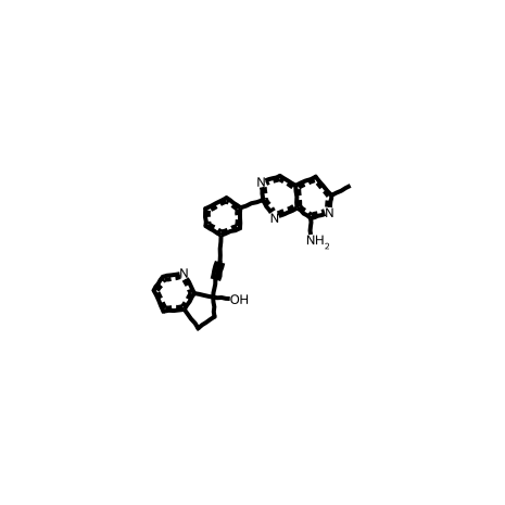 Cc1cc2cnc(-c3cccc(C#CC4(O)CCc5cccnc54)c3)nc2c(N)n1